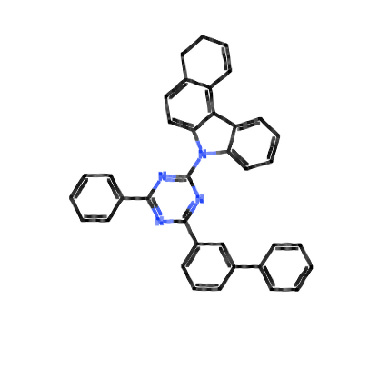 C1=Cc2c(ccc3c2c2ccccc2n3-c2nc(-c3ccccc3)nc(-c3cccc(-c4ccccc4)c3)n2)CC1